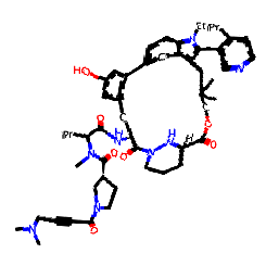 CCn1c(-c2cnccc2C(C)C)c2c3cc(ccc31)-c1cc(O)cc(c1)C[C@H](NC(=O)C(C(C)C)N(C)C(=O)[C@H]1CCN(C(=O)C#CCN(C)C)C1)C(=O)N1CCC[C@H](N1)C(=O)OCC(C)(C)C2